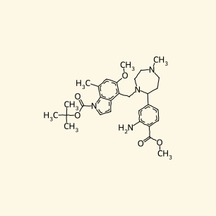 COC(=O)c1ccc(C2CCN(C)CCN2Cc2c(OC)cc(C)c3c2ccn3C(=O)OC(C)(C)C)cc1N